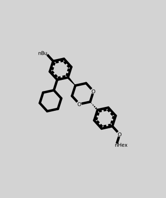 CCCCCCOc1ccc([C@H]2OC[C@H](c3ccc(CCCC)cc3C3CCCCC3)CO2)cc1